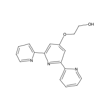 OCCOc1cc(-c2ccccn2)nc(-c2ccccn2)c1